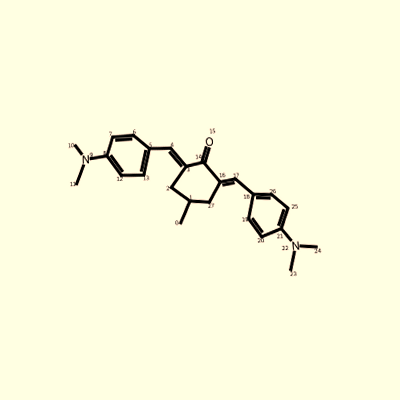 CC1C/C(=C\c2ccc(N(C)C)cc2)C(=O)/C(=C/c2ccc(N(C)C)cc2)C1